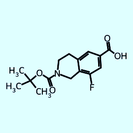 CC(C)(C)OC(=O)N1CCc2cc(C(=O)O)cc(F)c2C1